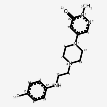 Cn1ncc(N2CCN(CCNc3ccc(F)cc3)CC2)cc1=O